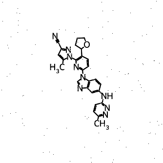 Cc1ccc(Nc2ccc3c(c2)ncn3-c2ccc(C3CCCO3)c(-n3nc(C#N)cc3C)n2)nn1